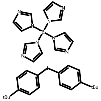 CC(C)(C)c1ccc([I+]c2ccc(C(C)(C)C)cc2)cc1.c1cn([B-](n2ccnc2)(n2ccnc2)n2ccnc2)cn1